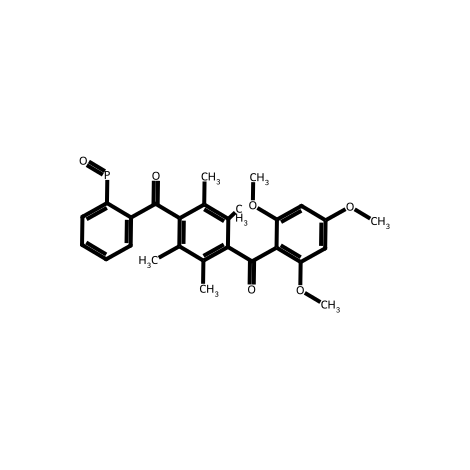 COc1cc(OC)c(C(=O)c2c(C)c(C)c(C(=O)c3ccccc3P=O)c(C)c2C)c(OC)c1